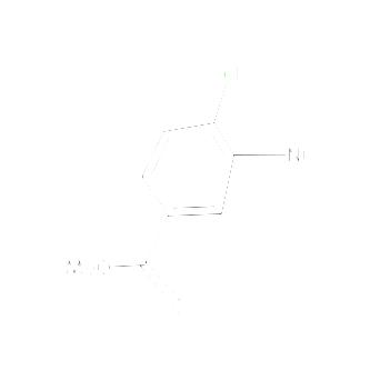 [C-]#[N+]c1cc(C(=O)OC)ccc1Cl